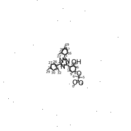 COC(=O)C(C)(C)Oc1ccc(-c2nc(-c3ccc(C)cc3C)nc(-c3ccc(C)cc3C)n2)c(O)c1